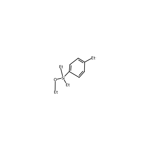 C[CH]c1ccc([Si](CC)(CC)OCC)cc1